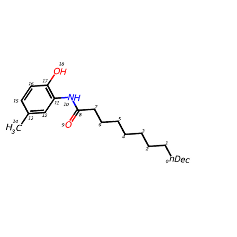 CCCCCCCCCCCCCCCCCC(=O)Nc1cc(C)ccc1O